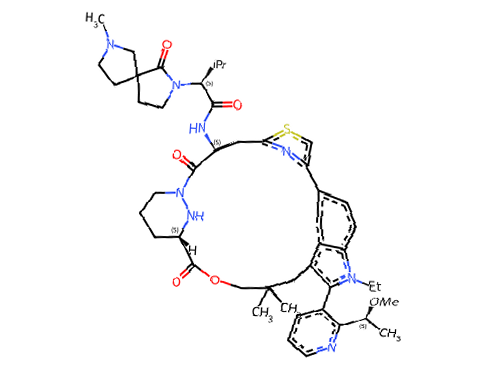 CCn1c(-c2cccnc2[C@H](C)OC)c2c3cc(ccc31)-c1csc(n1)C[C@H](NC(=O)[C@H](C(C)C)N1CCC3(CCN(C)C3)C1=O)C(=O)N1CCC[C@H](N1)C(=O)OCC(C)(C)C2